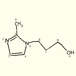 Cc1n[c]cn1CCCO